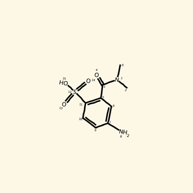 CN(C)C(=O)c1cc(N)ccc1S(=O)(=O)O